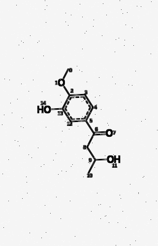 COc1ccc(C(=O)CC(C)O)cc1O